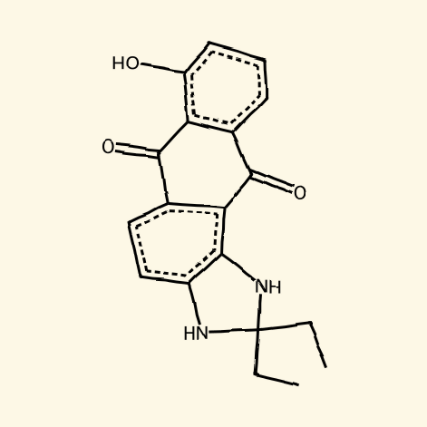 CCC1(CC)Nc2ccc3c(c2N1)C(=O)c1cccc(O)c1C3=O